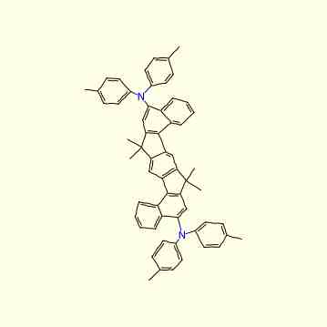 Cc1ccc(N(c2ccc(C)cc2)c2cc3c(c4ccccc24)-c2cc4c(cc2C3(C)C)-c2c(cc(N(c3ccc(C)cc3)c3ccc(C)cc3)c3ccccc23)C4(C)C)cc1